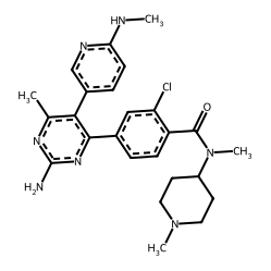 CNc1ccc(-c2c(C)nc(N)nc2-c2ccc(C(=O)N(C)C3CCN(C)CC3)c(Cl)c2)cn1